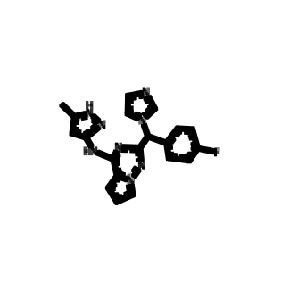 Cc1cc(Nc2nc(C(c3ccc(F)cc3)n3ccnc3)nn3cccc23)n[nH]1